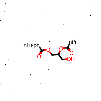 CCCCCCCC(=O)OCC(CO)OC(=O)CCC